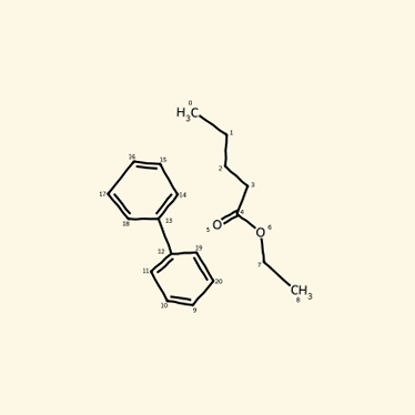 CCCCC(=O)OCC.c1ccc(-c2ccccc2)cc1